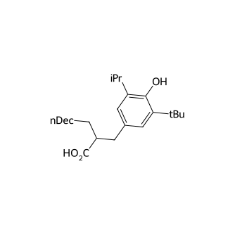 CCCCCCCCCCCC(Cc1cc(C(C)C)c(O)c(C(C)(C)C)c1)C(=O)O